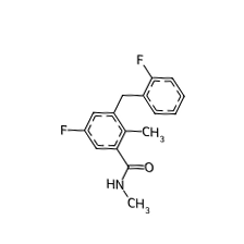 CNC(=O)c1cc(F)cc(Cc2ccccc2F)c1C